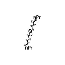 CCCC=CCCCOOCCCC=CCCC